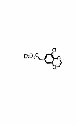 CCOC(=O)Cc1cc(Cl)c2c(c1)OCCO2